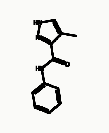 Cc1c[nH]nc1C(=O)Nc1ccccc1